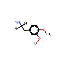 [2H]C([2H])(N)Cc1ccc(OC)c(OC)c1